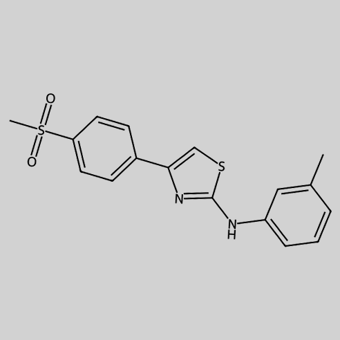 Cc1cccc(Nc2nc(-c3ccc(S(C)(=O)=O)cc3)cs2)c1